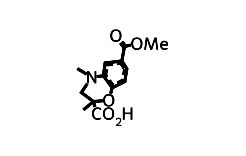 COC(=O)c1ccc2c(c1)N(C)CC(C)(C(=O)O)O2